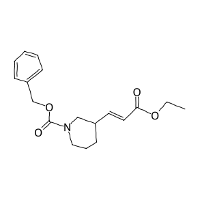 CCOC(=O)/C=C/C1CCCN(C(=O)OCc2ccccc2)C1